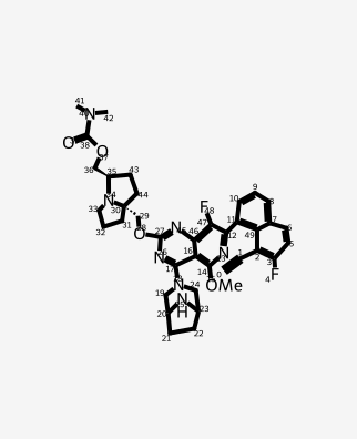 C#Cc1c(F)ccc2cccc(-c3nc(OC)c4c(N5CC6CCC(C5)N6)nc(OC[C@]56CCCN5[C@@H](COC(=O)N(C)C)CC6)nc4c3F)c12